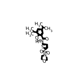 CC(C)c1cc(C(=O)Nc2ccc(S(=O)(=O)N3CCOCC3)s2)c(O)c(C(C)C)c1